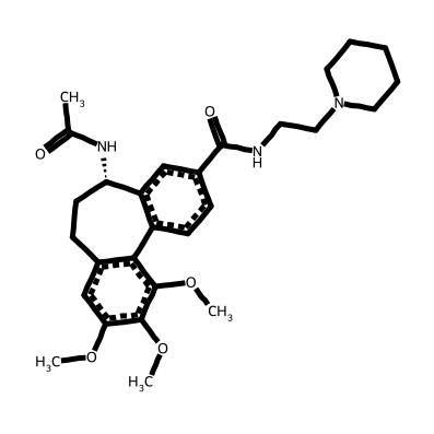 COc1cc2c(c(OC)c1OC)-c1ccc(C(=O)NCCN3CCCCC3)cc1[C@@H](NC(C)=O)CC2